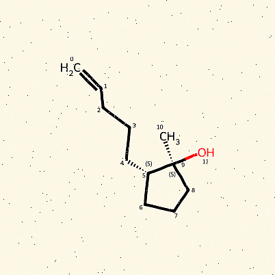 C=CCCC[C@H]1CCC[C@]1(C)O